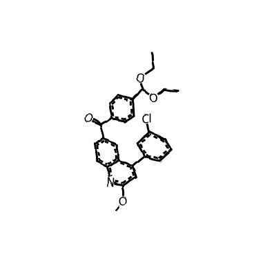 CCOC(OCC)c1ccc(C(=O)c2ccc3nc(OC)cc(-c4cccc(Cl)c4)c3c2)cc1